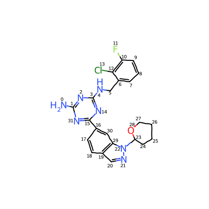 Nc1nc(NCc2cccc(F)c2Cl)nc(-c2ccc3cnn(C4CCCCO4)c3c2)n1